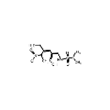 CCC(=CC(CNS(=O)(=O)N(C)C)=NO)C(C)[N+](=O)[O-]